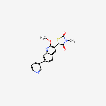 COc1nc2cc(-c3cccnc3)ccc2cc1C1SC(=O)N(C)C1=O